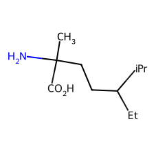 CCC(CCC(C)(N)C(=O)O)C(C)C